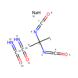 CC(C)(N=C=O)N=C=O.N=C=O.N=C=O.[NaH]